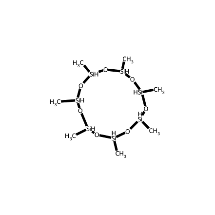 C[SiH]1O[SiH](C)O[SiH](C)O[SiH](C)O[SiH](C)O[SiH](C)O[SiH](C)O1